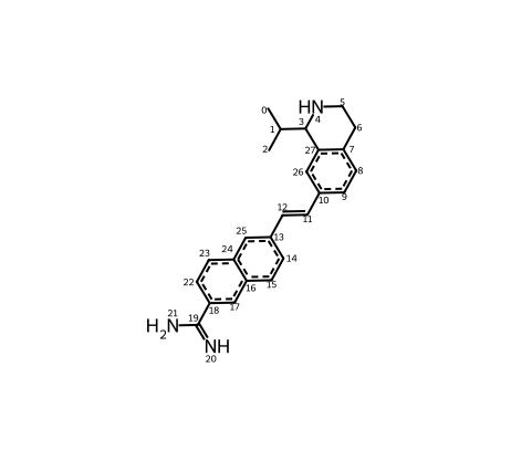 CC(C)C1NCCc2ccc(C=Cc3ccc4cc(C(=N)N)ccc4c3)cc21